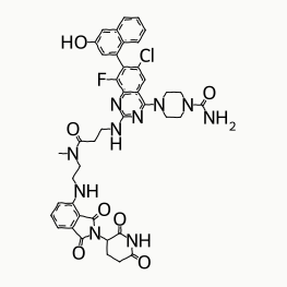 CN(CCNc1cccc2c1C(=O)N(C1CCC(=O)NC1=O)C2=O)C(=O)CCNc1nc(N2CCN(C(N)=O)CC2)c2cc(Cl)c(-c3cc(O)cc4ccccc34)c(F)c2n1